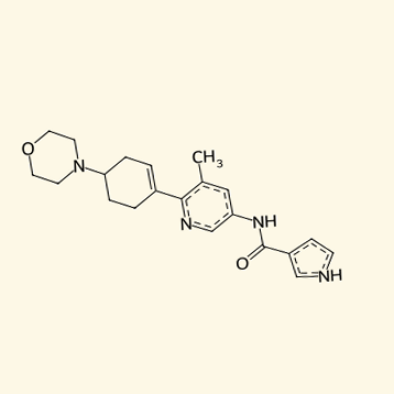 Cc1cc(NC(=O)c2cc[nH]c2)cnc1C1=CCC(N2CCOCC2)CC1